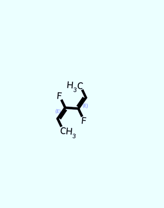 C/C=C(F)\C(F)=C/C